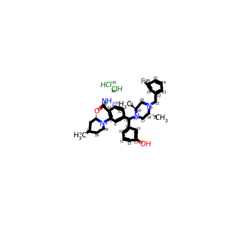 CC1CCN(c2cc(C(c3cccc(O)c3)N3C[C@@H](C)N(Cc4cccc(F)c4)C[C@@H]3C)ccc2C(N)=O)CC1.Cl.Cl